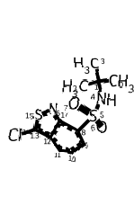 CC(C)(C)NS(=O)(=O)c1cccc2c(Cl)snc12